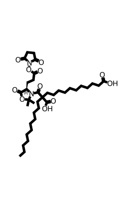 CCCCCCCCCCCC(CCCCCCCCCCC(=O)O)(C(=O)O)C(=O)N1[C@H](CCC(=O)ON2C(=O)CCC2=O)C(=O)OC1(C)C